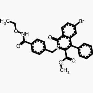 CCONC(=O)c1ccc(Cn2c(C(=O)OC)c(-c3ccccc3)c3cc(Br)ccc3c2=O)cc1